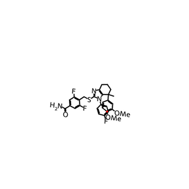 COc1ccc(C2(C)CCCc3nc(SCc4c(F)cc(C(N)=O)cc4F)n(-c4ccc(F)cc4)c32)cc1OC